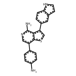 Nc1ccc(-c2cnc(N)c3c(-c4ccc5[nH]ccc5c4)csc23)cc1